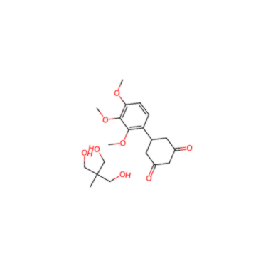 CC(CO)(CO)CO.COc1ccc(C2CC(=O)CC(=O)C2)c(OC)c1OC